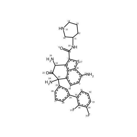 Nc1ccc2c3c(c(C(=O)NC4CCCNC4)sc13)C(N)C(=O)C2(N)c1cccc(-c2cccc(F)c2F)c1